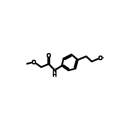 COCC(=O)Nc1ccc(CC[O])cc1